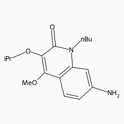 CCCCn1c(=O)c(OC(C)C)c(OC)c2ccc(N)cc21